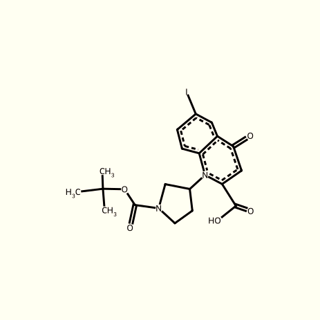 CC(C)(C)OC(=O)N1CCC(n2c(C(=O)O)cc(=O)c3cc(I)ccc32)C1